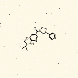 CC(C)C1COc2cc(C(=O)N3CCC(c4ccncc4)C3)cnc2N1